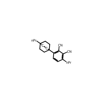 CCCc1ccc(C23CCC(CCC)(CC2)CC3)c(C#N)c1C#N